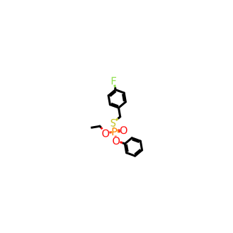 CCOP(=O)(Oc1ccccc1)SCc1ccc(F)cc1